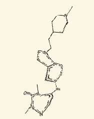 Cc1c(Nc2ccc3c(ccn3CCC3CCN(C)CC3)c2)cnn(C)c1=O